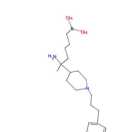 CC(N)(CCCCB(O)O)C1CCN(CCCc2ccccc2)CC1